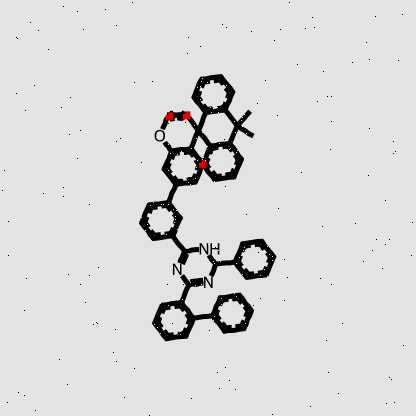 CC1(C)c2ccccc2C2(c3ccccc3Oc3cc(-c4cccc(C5=NC(c6ccccc6-c6ccccc6)=NC(c6ccccc6)N5)c4)ccc32)c2ccccc21